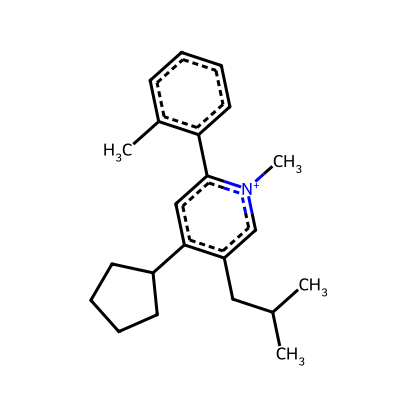 Cc1ccccc1-c1cc(C2CCCC2)c(CC(C)C)c[n+]1C